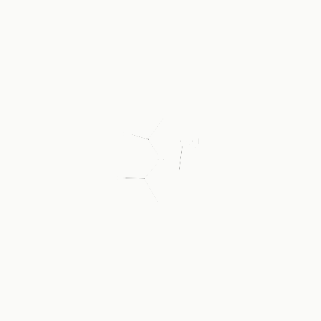 CC(=O)O.CC(Cl)OC(C)Cl